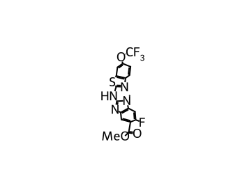 COC(=O)c1cc2nc(Nc3nc4ccc(OC(F)(F)F)cc4s3)n(C)c2cc1F